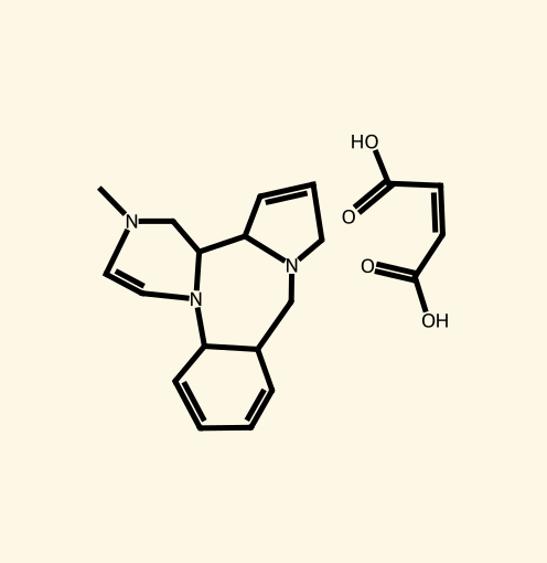 CN1C=CN2C3C=CC=CC3CN3CC=CC3C2C1.O=C(O)/C=C\C(=O)O